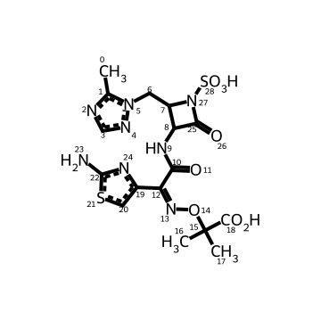 Cc1ncnn1CC1C(NC(=O)/C(=N\OC(C)(C)C(=O)O)c2csc(N)n2)C(=O)N1S(=O)(=O)O